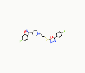 Fc1ccc(-c2nnc(SCCCN3CCC(c4noc5cc(F)ccc45)CC3)o2)cc1